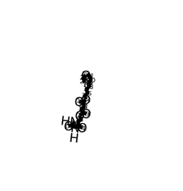 O=C1NC(=O)C(COC(=O)/C=C/C(=O)OCCCCN2CCOCC2)N1